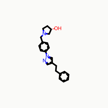 O[C@H]1CCN(Cc2ccc(-n3cc(CCc4ccccc4)cn3)cc2)C1